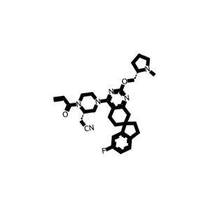 C=CC(=O)N1CCN(c2nc(OC[C@@H]3CCCN3C)nc3c2CCC2(CCc4ccc(F)cc42)C3)C[C@@H]1CC#N